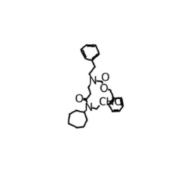 O=CCN(C(=O)CCN(CCc1ccccc1)C(=O)OCc1ccccc1)C1CCCCCC1